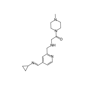 CN1CCN(C(=O)CNCc2cc(C=NC3CC3)ccn2)CC1